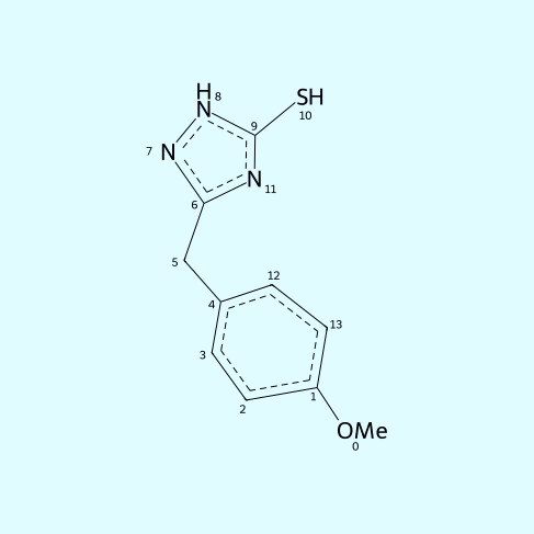 COc1ccc(Cc2n[nH]c(S)n2)cc1